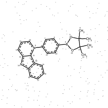 CC1(C)OB(c2ccc(-n3cccc4nc5ccccc5c3-4)cc2)OC1(C)C